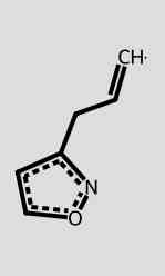 [CH]=CCc1ccon1